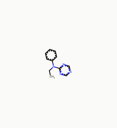 CCN(c1ccccc1)c1ncncn1